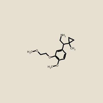 COCCOc1cc(C(CN)C2(C)CC2)ccc1OC